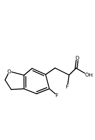 O=C(O)C(F)Cc1cc2c(cc1F)CCO2